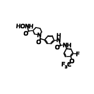 O=C(Nc1ccc(C(=O)N2CCCC(C(=O)NO)C2)cc1)Nc1ccc(OC(F)(F)F)c(F)c1